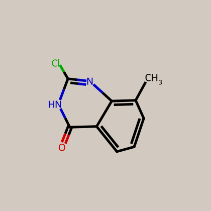 Cc1cccc2c(=O)[nH]c(Cl)nc12